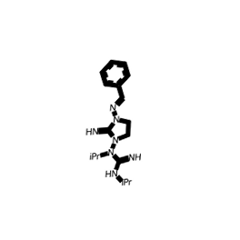 CC(C)NC(=N)N(C(C)C)N1CCN(/N=C/c2ccccc2)C1=N